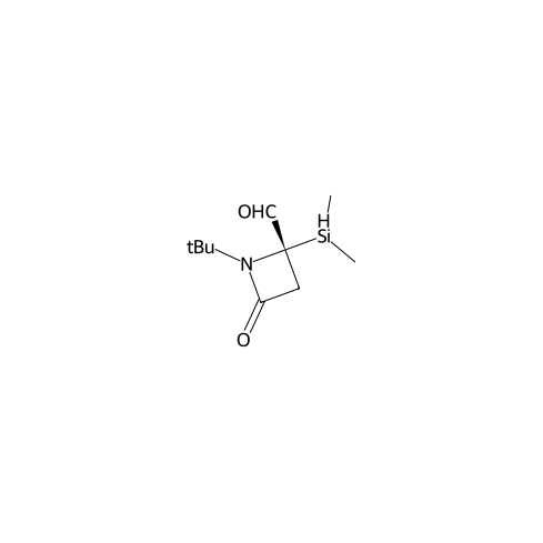 C[SiH](C)[C@]1(C=O)CC(=O)N1C(C)(C)C